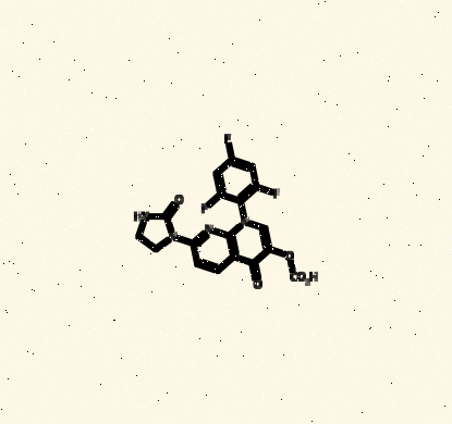 O=C(O)Oc1cn(-c2c(F)cc(F)cc2F)c2nc(N3CCNC3=O)ccc2c1=O